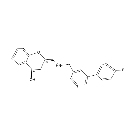 O[C@@H]1C[C@H](CNCc2cncc(-c3ccc(F)cc3)c2)Oc2ccccc21